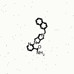 NC(=O)c1cccnc1N1CC2=CN(Cc3ccc4ccccc4c3)CC2C1